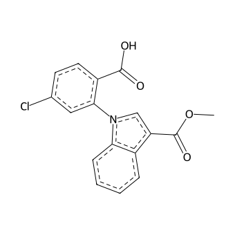 COC(=O)c1cn(-c2cc(Cl)ccc2C(=O)O)c2ccccc12